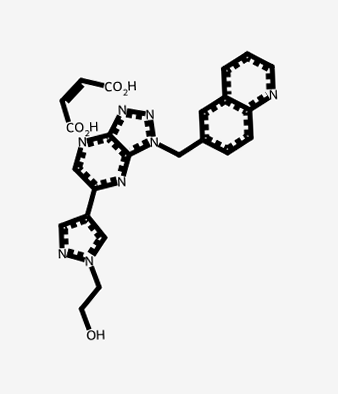 O=C(O)/C=C\C(=O)O.OCCn1cc(-c2cnc3nnn(Cc4ccc5ncccc5c4)c3n2)cn1